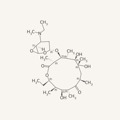 CC[C@H]1OC(=O)[C@H](C)[C@@H](O[C@H]2CC(N(C)CC)[C@@H]3OC3O2)[C@H](C)[C@@H](O)[C@](C)(O)C[C@@H](C)C(=O)[C@H](C)[C@@H](O)[C@H]1C